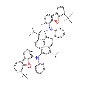 Cc1ccc2c(oc3c(C(C)(C)C)cccc32)c1N(c1ccccc1)c1cc(C(C)C)c2ccc3c(N(c4ccccc4)c4cccc5c4oc4c(C(C)(C)C)cccc45)cc(C(C)C)c4ccc1c2c43